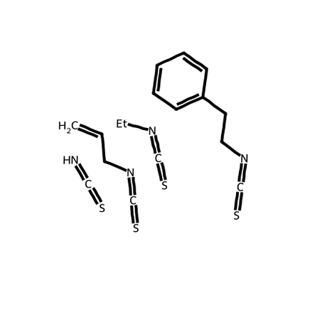 C=CCN=C=S.CCN=C=S.N=C=S.S=C=NCCc1ccccc1